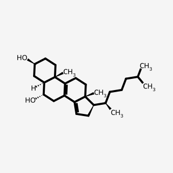 CC(C)CCC[C@@H](C)[C@H]1CC=C2C3=C(CC[C@@]21C)[C@@]1(C)CC[C@H](O)C[C@@H]1[C@@H](O)C3